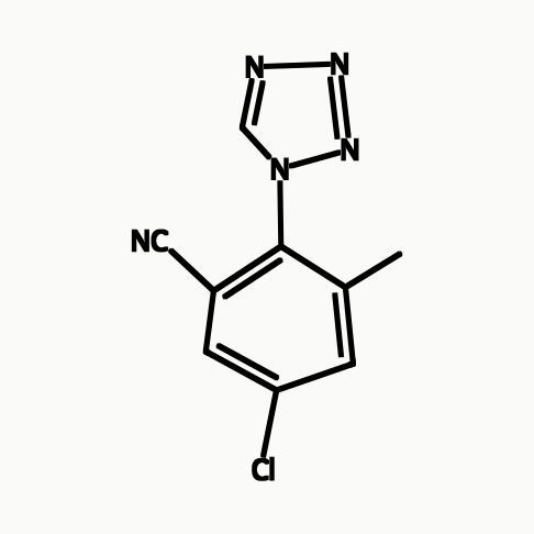 Cc1cc(Cl)cc(C#N)c1-n1cnnn1